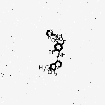 CCc1cc(S(=O)(=O)Nc2nccs2)c(F)cc1NC[C@@H]1CCN2CC(C)(C)CC12